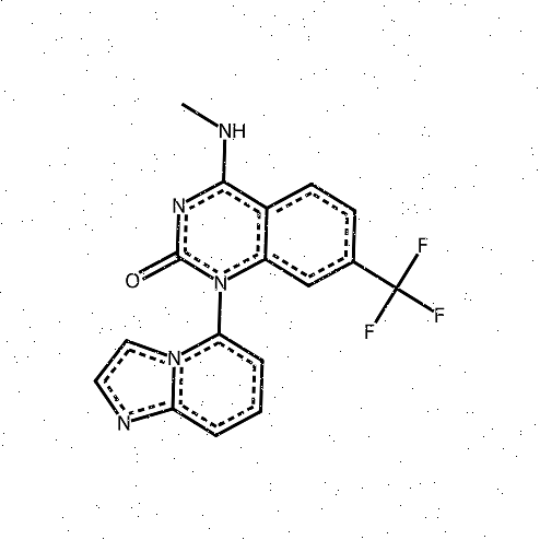 CNc1nc(=O)n(-c2cccc3nccn23)c2cc(C(F)(F)F)ccc12